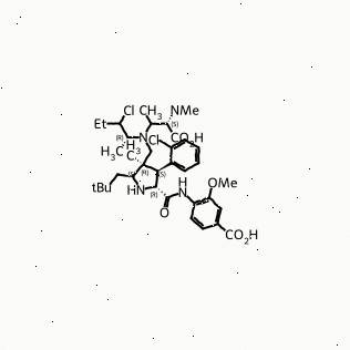 CCC(Cl)[C@@H](C)N(C[C@]1(C)[C@H](CC(C)(C)C)N[C@@H](C(=O)Nc2ccc(C(=O)O)cc2OC)[C@@H]1c1ccccc1Cl)C(C)[C@H](NC)C(=O)O